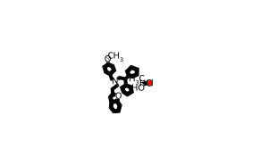 CC(=O)O.COc1ccc(CN(CCc2cc3ccccc3o2)CC(c2ccccc2)c2ccccc2)cc1.Cl